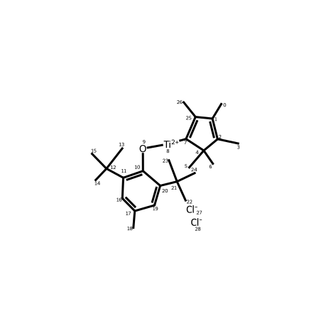 CC1=C(C)C(C)(C)[C]([Ti+2][O]c2c(C(C)(C)C)cc(C)cc2C(C)(C)C)=C1C.[Cl-].[Cl-]